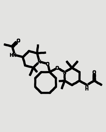 CC(=O)NC1CC(C)(C)N(OC2(ON3C(C)(C)CC(NC(C)=O)CC3(C)C)CCCCCCC2)C(C)(C)C1